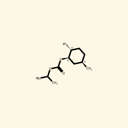 CC(C)[C@@H]1CC[C@@H](C)C[C@H]1OC(=O)OC(C)C(C)(C)C